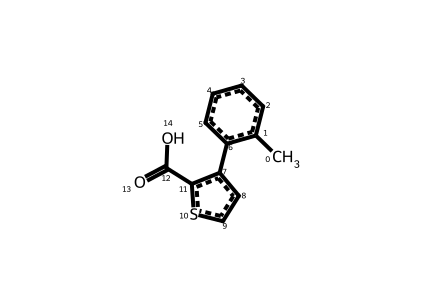 Cc1ccccc1-c1ccsc1C(=O)O